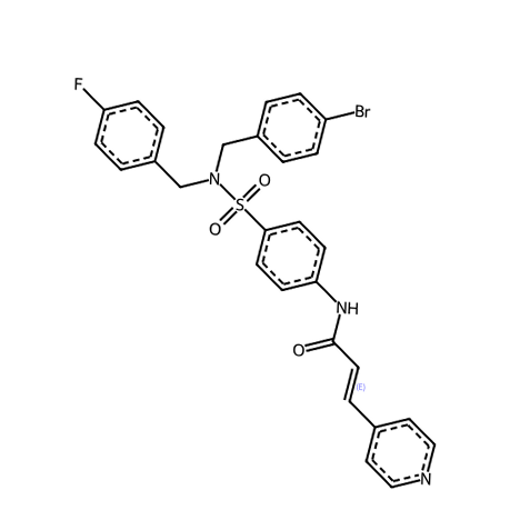 O=C(/C=C/c1ccncc1)Nc1ccc(S(=O)(=O)N(Cc2ccc(F)cc2)Cc2ccc(Br)cc2)cc1